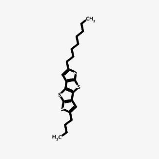 CCCCCCCCc1cc2c(s1)sc1c3cc(CCCC)sc3sc21